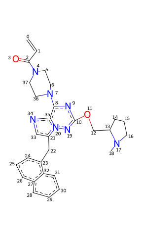 C=CC(=O)N1CCN(c2nc(OCC3CCCN3C)nn3c(Cc4cccc5ccccc45)cnc23)CC1